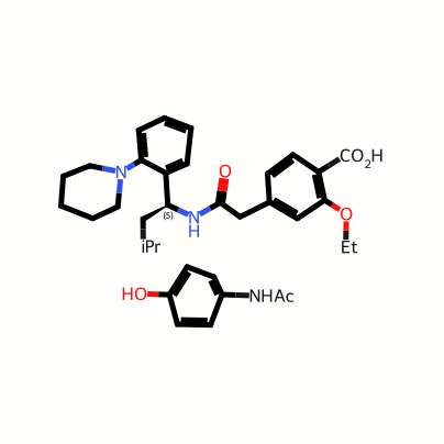 CC(=O)Nc1ccc(O)cc1.CCOc1cc(CC(=O)N[C@@H](CC(C)C)c2ccccc2N2CCCCC2)ccc1C(=O)O